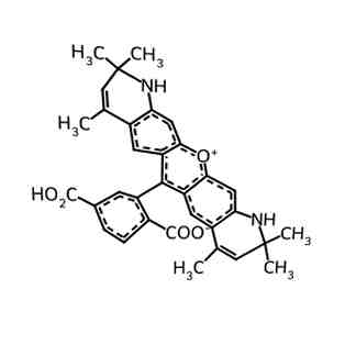 CC1=CC(C)(C)Nc2cc3[o+]c4cc5c(cc4c(-c4cc(C(=O)O)ccc4C(=O)[O-])c3cc21)C(C)=CC(C)(C)N5